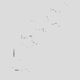 CC(=O)c1cnc(N2CCn3c(nc4ccc(S(C)(=O)=O)cc43)C2C(C)C)nc1C